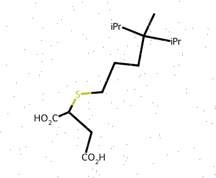 CC(C)C(C)(CCCSC(CC(=O)O)C(=O)O)C(C)C